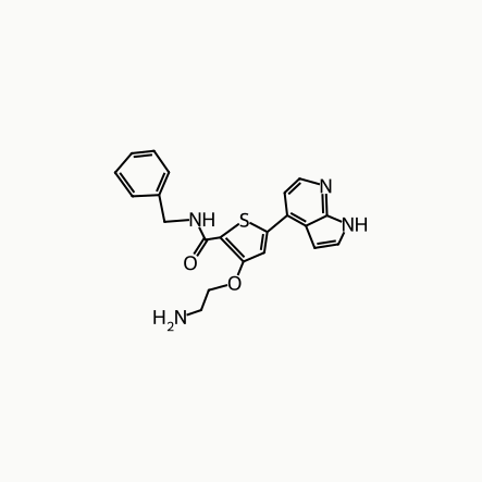 NCCOc1cc(-c2ccnc3[nH]ccc23)sc1C(=O)NCc1ccccc1